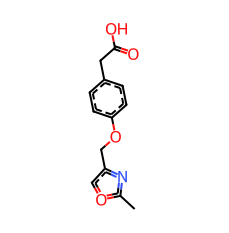 Cc1nc(COc2ccc(CC(=O)O)cc2)co1